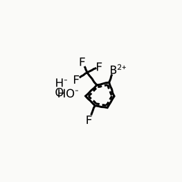 [B+2]c1ccc(F)cc1C(F)(F)F.[OH-].[OH-]